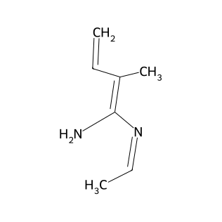 C=C/C(C)=C(N)/N=C\C